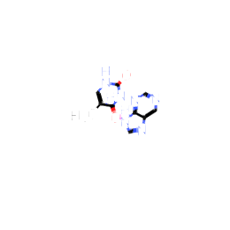 Cc1c[nH]c(=O)[nH]c1=O.c1ncc2nc[nH]c2n1